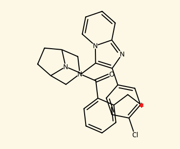 O=C(c1ccccc1CI)N1CC2CCC(C1)N2Cc1c(-c2ccc(Cl)cc2)nc2ccccn12